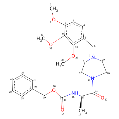 COc1ccc(CN2CCN(C(=O)[C@@H](C)NC(=O)OCc3ccccc3)CC2)c(OC)c1OC